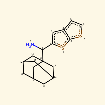 NC(c1cc2ccsc2s1)C12CC3CC(CC(C3)C1)C2